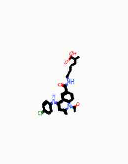 CC(=O)N1c2ccc(C(=O)NCCCCC(C)C(=O)O)cc2C(Nc2ccc(Cl)cc2)CC1C